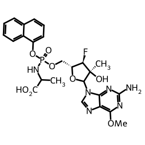 COc1nc(N)nc2c1ncn2C1O[C@H](COP(=O)(NC(C)C(=O)O)Oc2cccc3ccccc23)[C@@H](F)[C@@]1(C)O